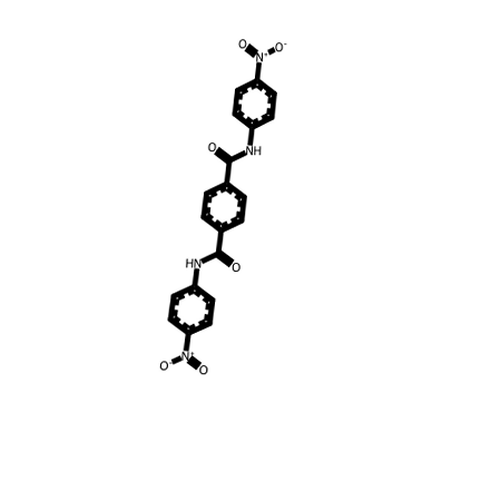 O=C(Nc1ccc([N+](=O)[O-])cc1)c1ccc(C(=O)Nc2ccc([N+](=O)[O-])cc2)cc1